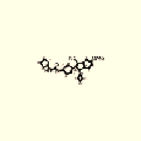 COc1ccc2c(c1)C(C#N)=C(c1ccc(NC(=O)NC3CCCC3)cc1)C2C1CCC1